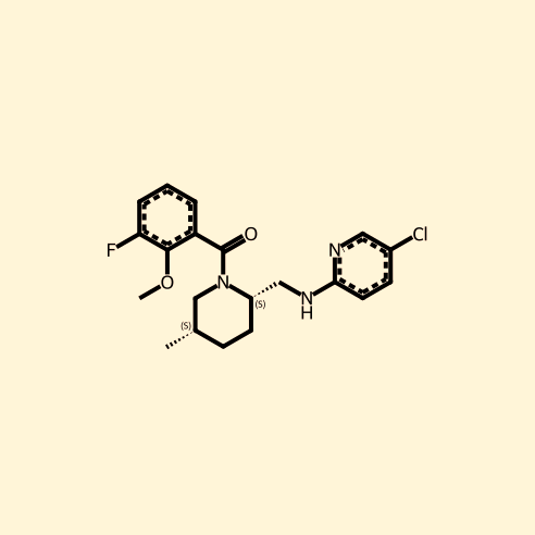 COc1c(F)cccc1C(=O)N1C[C@@H](C)CC[C@H]1CNc1ccc(Cl)cn1